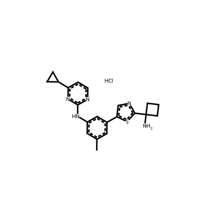 Cc1cc(Nc2nccc(C3CC3)n2)cc(-c2cnc(C3(N)CCC3)s2)c1.Cl